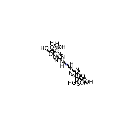 OCC1O[C@@H](n2cnc3c(NC/C=C/CNc4ncnc5c4ncn5[C@@H]4O[C@H](CO)[C@@H](O)[C@H]4O[PH](O)=S)ncnc32)[C@H](O[PH](O)=S)[C@@H]1O